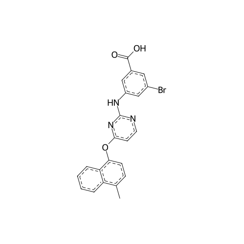 Cc1ccc(Oc2ccnc(Nc3cc(Br)cc(C(=O)O)c3)n2)c2ccccc12